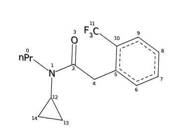 CCCN(C(=O)Cc1ccccc1C(F)(F)F)C1CC1